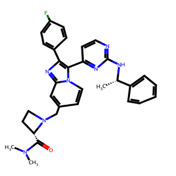 C[C@H](Nc1nccc(-c2c(-c3ccc(F)cc3)nc3cc(CN4CC[C@H]4C(=O)N(C)C)ccn23)n1)c1ccccc1